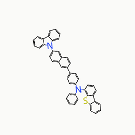 c1ccc(N(c2ccc(-c3ccc4cc(-n5c6ccccc6c6ccccc65)ccc4c3)cc2)c2cccc3c2sc2ccccc23)cc1